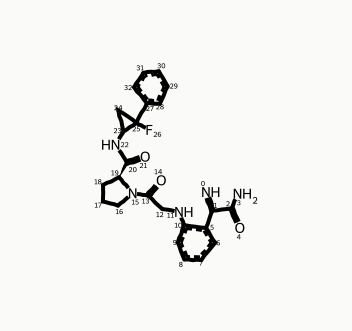 N=C(C(N)=O)c1ccccc1NCC(=O)N1CCC[C@H]1C(=O)NC1CC1(F)c1ccccc1